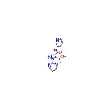 COC(C)c1c(C(=O)N(C)c2cccnc2)cnn1-c1ncccn1